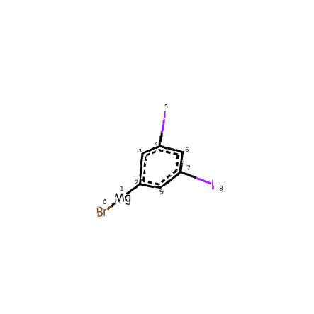 [Br][Mg][c]1cc(I)cc(I)c1